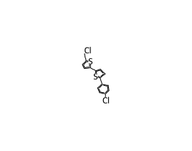 ClCc1ccc(-c2ccc(-c3ccc(Cl)cc3)s2)s1